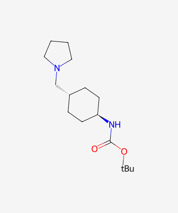 CC(C)(C)OC(=O)N[C@H]1CC[C@H](CN2CCCC2)CC1